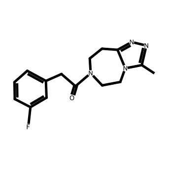 Cc1nnc2n1CCN(C(=O)Cc1cccc(F)c1)CC2